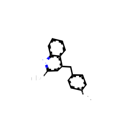 CCCCc1cc(Cc2ccc(C#N)cc2)c2ccccc2n1